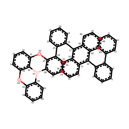 c1ccc(-c2ccccc2-c2c3ccccc3c(-c3ccccc3-c3cccc4c3Oc3cccc5c3B4c3ccccc3O5)c3ccccc23)cc1